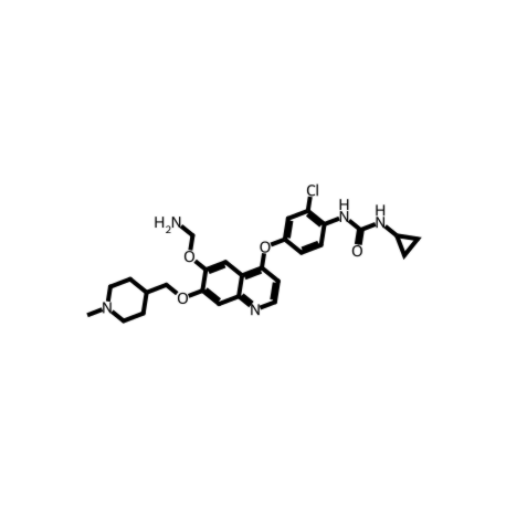 CN1CCC(COc2cc3nccc(Oc4ccc(NC(=O)NC5CC5)c(Cl)c4)c3cc2OCN)CC1